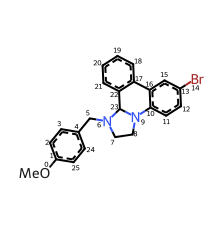 COc1ccc(CN2CCN3c4ccc(Br)cc4-c4ccccc4C23)cc1